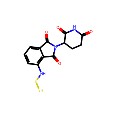 O=C1CCC(N2C(=O)c3cccc(NSS)c3C2=O)C(=O)N1